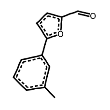 Cc1cccc(-c2ccc(C=O)o2)c1